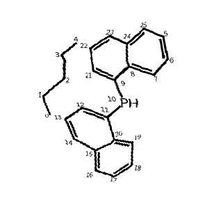 CCCCC.c1ccc2c(Pc3cccc4ccccc34)cccc2c1